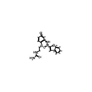 NC(=O)NCCSc1ccc(Cl)cc1N[S+]([O-])c1cc2ccccc2o1